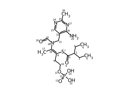 CCC(CC)C(=O)SC(CCOP(=O)(O)O)=C(C)N(C=O)Cc1cnc(C)nc1N